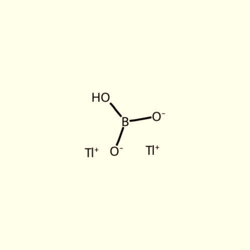 [O-]B([O-])O.[Tl+].[Tl+]